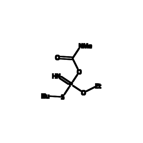 CCOP(=N)(OC(=O)NC)SC(C)CC